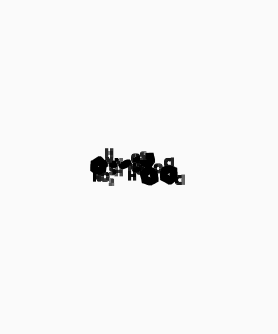 O=[N+]([O-])c1cccc(NC(=S)NCCNS(=O)(=O)c2sccc2-c2ccccc2Oc2ccc(Cl)cc2Cl)c1